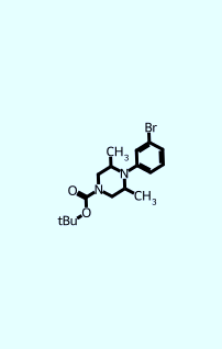 CC1CN(C(=O)OC(C)(C)C)CC(C)N1c1cccc(Br)c1